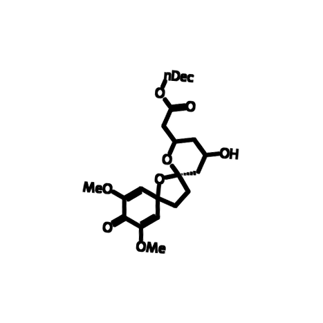 CCCCCCCCCCOC(=O)CC1CC(O)C[C@@]2(CCC3(C=C(OC)C(=O)C(OC)=C3)O2)O1